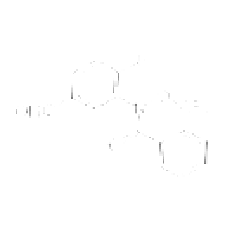 O=[C]c1ccc(F)c(N(OC(F)(F)F)C(=O)c2ccccc2)c1